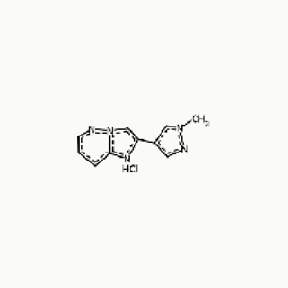 Cl.Cn1cc(-c2cn3ncccc3n2)cn1